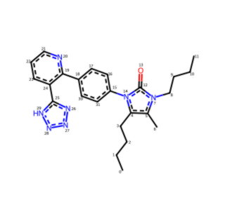 CCCCc1c(C)n(CCCC)c(=O)n1-c1ccc(-c2ncccc2-c2nnn[nH]2)cc1